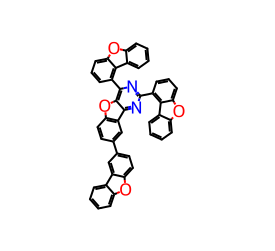 c1ccc2c(c1)oc1ccc(-c3ccc4oc5c(-c6cccc7oc8ccccc8c67)nc(-c6cccc7oc8ccccc8c67)nc5c4c3)cc12